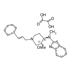 CO[C@H]1CN(CC=Cc2ccccc2)CC[C@H]1N(C)c1nc2ccccc2s1.O=C(O)C(=O)O